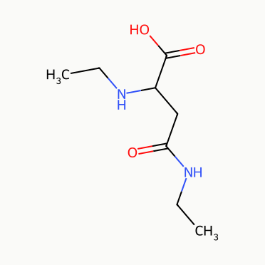 CCNC(=O)CC(NCC)C(=O)O